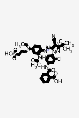 CCN(CCCS(=O)(=O)O)c1ccc(/N=N/c2c(C#N)c(C(C)(C)C)nn2-c2ccc(NC(=O)c3ccccc3C(=O)O)cc2Cl)c(NC(C)=O)c1